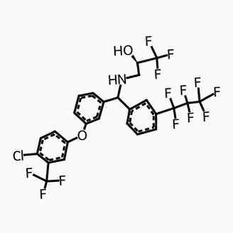 O[C@H](CNC(c1cccc(Oc2ccc(Cl)c(C(F)(F)F)c2)c1)c1cccc(C(F)(F)C(F)(F)C(F)(F)F)c1)C(F)(F)F